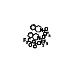 O=C(N1CCc2ccccc2CC1)C(F)(F)F.O=C(N1CCc2ccccc2CC1)C(F)(F)F.O=C(OC(=O)C(F)(F)F)C(F)(F)F